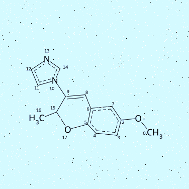 COc1ccc2c(c1)C=C(n1ccnc1)C(C)O2